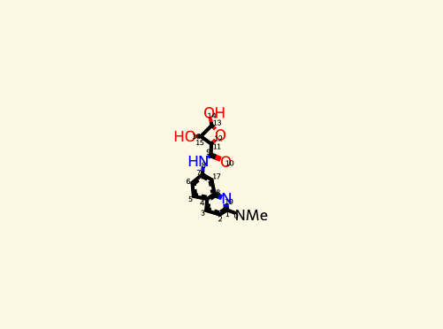 CNc1ccc2ccc(NC(=O)C3OC(O)C3O)cc2n1